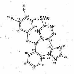 CSc1ncc2c(n1)N(Cc1ccc(F)c(F)c1)c1ccccc1-n1nnnc1-2